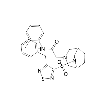 Cc1ccccc1NC(=O)CN1CC2CCC(C1)N(S(=O)(=O)c1nsnc1Cc1ccccc1)C2